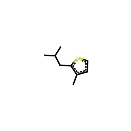 Cc1ccsc1CC(C)C